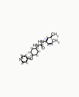 C=C/C=C(\C=C/C)NC(=O)NC1CCC(Oc2ccncc2)CC1